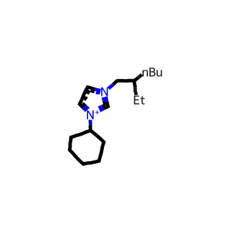 CCCCC(CC)Cn1cc[n+](C2CCCCC2)c1